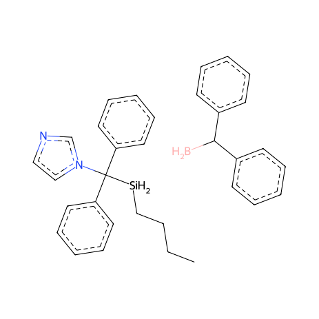 BC(c1ccccc1)c1ccccc1.CCCC[SiH2]C(c1ccccc1)(c1ccccc1)n1ccnc1